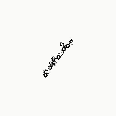 CCn1c2ccc(CNCc3ccc(-c4c5ncn(CC6(O)CCN(C(=O)C[C@@H](C)c7ccccc7)CC6)c(=O)c5nn4C)cc3)cc2c2ccc(-c3cc(C)cs3)cc21